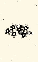 C1=CC[C]([Er]([C]2=CC=CC2)[C]2=CC=CC2)=C1.CCCCC1=[C]([Er]([C]2=C(CCCC)C=CC2)[C]2=C(CCCC)C=CC2)CC=C1